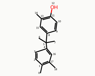 Cc1ccc(C(C)(C)c2ccc(O)c(C)c2)cc1C